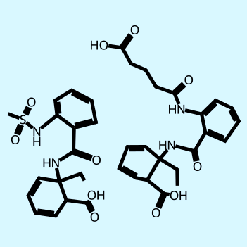 CCC1(NC(=O)c2ccccc2NC(=O)CCCC(=O)O)C=CC=CC1C(=O)O.CCC1(NC(=O)c2ccccc2NS(C)(=O)=O)C=CC=CC1C(=O)O